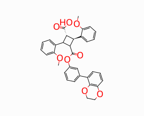 COc1ccccc1C1C(C(=O)Oc2cccc(-c3cccc4c3OCCO4)c2)[C@H](c2ccccc2OC)[C@H]1C(=O)O